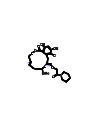 COC1CC/C=C/CCOC(=O)c2c(O)cc(O)c(Cl)c2C/C(=N/OCC(=O)N2CCCCC2)C1